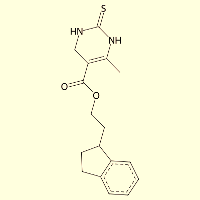 CC1=C(C(=O)OCCC2CCc3ccccc32)CNC(=S)N1